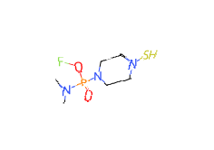 CN(C)P(=O)(OF)N1CCN(S)CC1